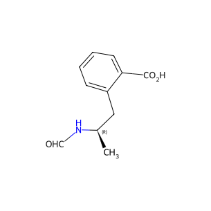 C[C@H](Cc1ccccc1C(=O)O)NC=O